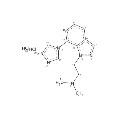 CN(C)CCn1ncc2cccc(-n3cnnc3)c21.Cl.Cl